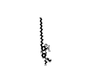 CCCCCCCCCCCCCCCCCc1cc2nc3ccc(N(CCC)CCC)cc3sc-2c(N(C)C)c1=O